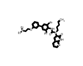 C=CCCCN(C(=O)Nc1c(C(C)C)cc(-c2cccc(OCCN(CC)CC)c2)cc1C(C)C)c1cc2cccnc2[nH]c1=O